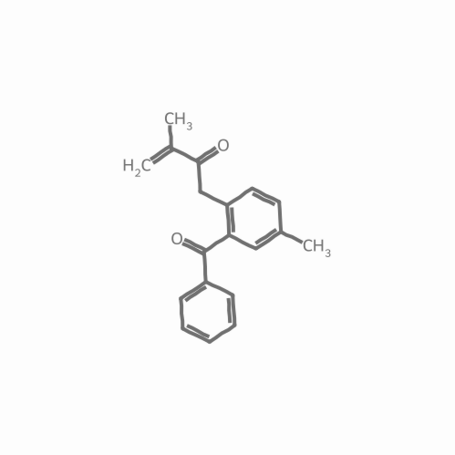 C=C(C)C(=O)Cc1ccc(C)cc1C(=O)c1ccccc1